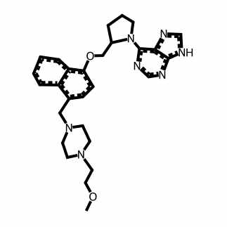 COCCN1CCN(Cc2ccc(OCC3CCCN3c3ncnc4[nH]cnc34)c3ccccc23)CC1